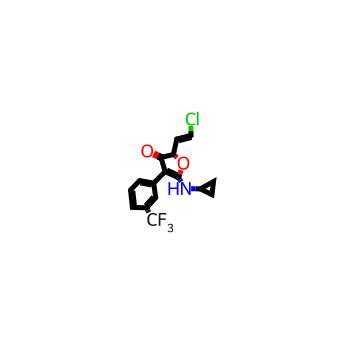 O=C1C(c2cccc(C(F)(F)F)c2)=C(NC2CC2)OC1C=CCl